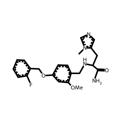 COc1cc(OCc2ccccc2F)ccc1CNC(Cc1cncn1C)C(N)=O